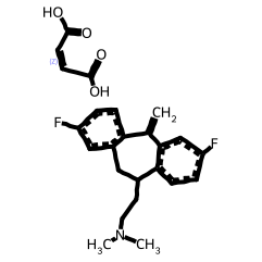 C=C1c2ccc(F)cc2CC(CCN(C)C)c2ccc(F)cc21.O=C(O)/C=C\C(=O)O